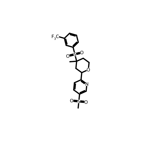 CC1(S(=O)(=O)c2cccc(C(F)(F)F)c2)CCOC(c2ccc(S(C)(=O)=O)cn2)C1